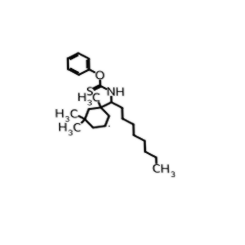 CCCCCCCCC(NC(=S)Oc1ccccc1)C1(C)C[CH]CC(C)(C)C1